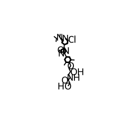 Cc1cc(-c2noc(-c3cc(Cl)nc(N(C)C(C)C)c3)n2)cc(C)c1OCC(O)CNC(=O)CO